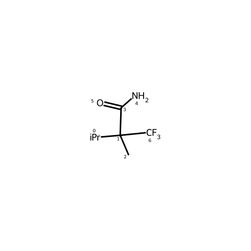 CC(C)C(C)(C(N)=O)C(F)(F)F